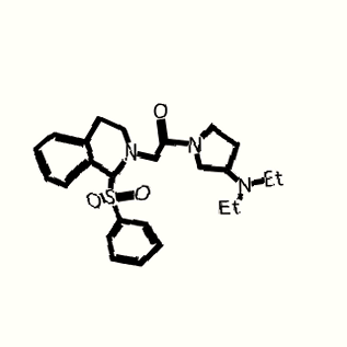 CCN(CC)C1CCN(C(=O)CN2CCc3ccccc3C2S(=O)(=O)c2ccccc2)C1